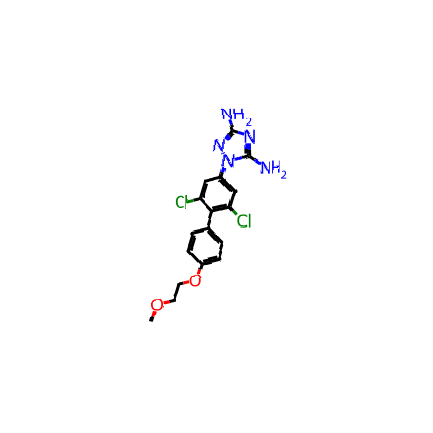 COCCOc1ccc(-c2c(Cl)cc(-n3nc(N)nc3N)cc2Cl)cc1